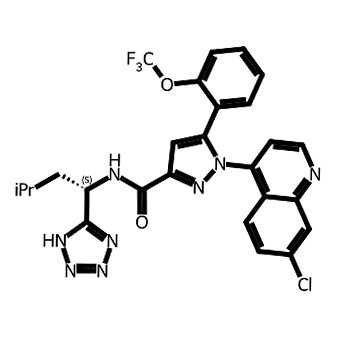 CC(C)C[C@H](NC(=O)c1cc(-c2ccccc2OC(F)(F)F)n(-c2ccnc3cc(Cl)ccc23)n1)c1nnn[nH]1